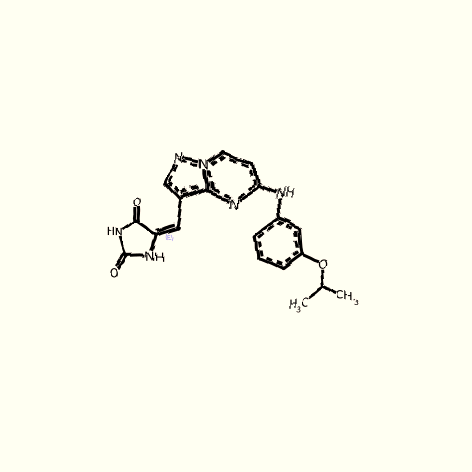 CC(C)Oc1cccc(Nc2ccn3ncc(/C=C4/NC(=O)NC4=O)c3n2)c1